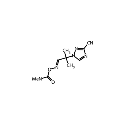 CNC(=O)ON=CC(C)(C)n1cnc(C#N)n1